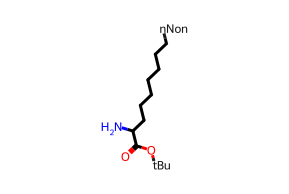 CCCCCCCCCCCCCCCCC(N)C(=O)OC(C)(C)C